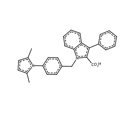 Cc1ccc(C)n1-c1ccc(Cn2c(C(=O)O)c(-c3ccccc3)c3ccccc32)cc1